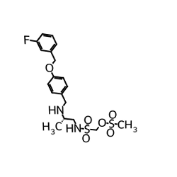 C[C@@H](CNS(=O)(=O)COS(C)(=O)=O)NCc1ccc(OCc2cccc(F)c2)cc1